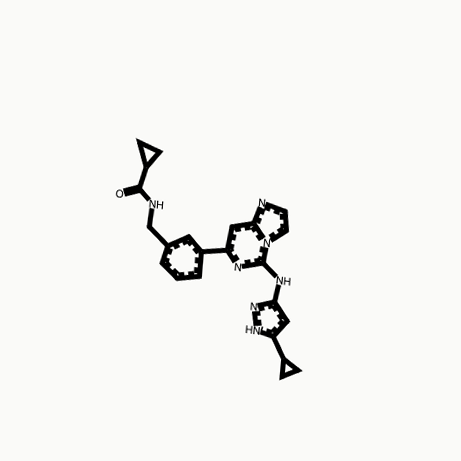 O=C(NCc1cccc(-c2cc3nccn3c(Nc3cc(C4CC4)[nH]n3)n2)c1)C1CC1